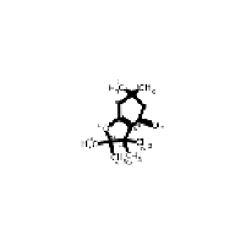 CC1(C)CC(=O)C2=C(C1)OC(C)(C)C2(C)C